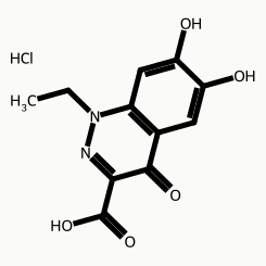 CCn1nc(C(=O)O)c(=O)c2cc(O)c(O)cc21.Cl